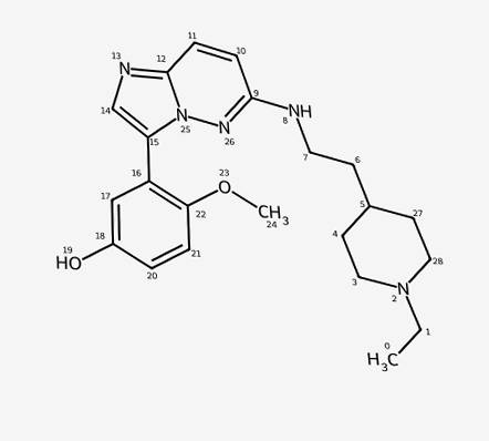 CCN1CCC(CCNc2ccc3ncc(-c4cc(O)ccc4OC)n3n2)CC1